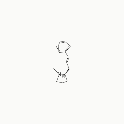 CN1CCC[C@@H]1CC=Cc1cccnc1